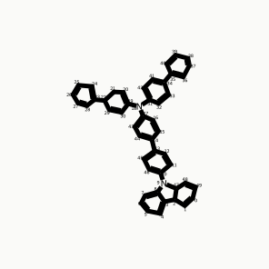 C1=CC2c3ccccc3N(c3ccc(-c4ccc(N(C5=CCC(c6ccccc6)C=C5)c5ccc(-c6ccccc6)cc5)cc4)cc3)C2C=C1